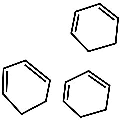 C1=CCCC=C1.C1=CCCC=C1.C1=CCCC=C1